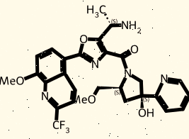 COC[C@@H]1C[C@@](O)(c2ccccn2)CN1C(=O)c1nc(-c2ccc(OC)c3nc(C(F)(F)F)ccc23)oc1[C@H](C)N